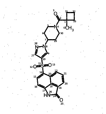 CC1(C(=O)N2CCC(n3cc(S(=O)(=O)c4ccc5c6c(cccc46)C(=O)N5)cn3)CC2)CCC1